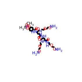 COP(C)(=O)O[C@H]1CC[C@@H](C(=O)NC(CCC(=O)NC(CCC(=O)NCCOCCON)C(=O)NCCOCCON)C(=O)NCCOCCON)CC1